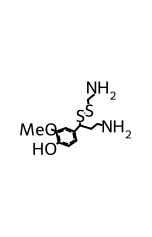 COc1cc(C(CCN)SSCCN)ccc1O